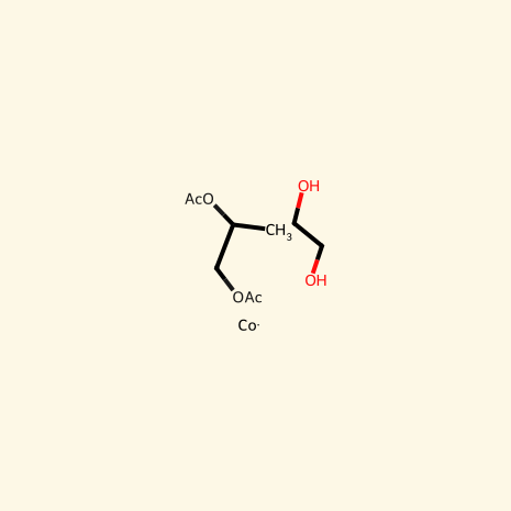 CC(=O)OCC(C)OC(C)=O.OCCO.[Co]